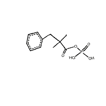 CC(C)(Cc1ccccc1)C(=O)OP(=O)(O)O